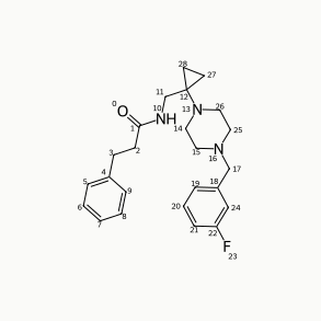 O=C(CCc1ccccc1)NCC1(N2CCN(Cc3cccc(F)c3)CC2)CC1